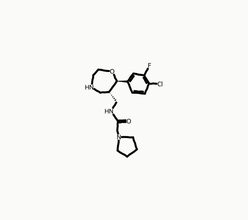 O=C(CN1CCCC1)NC[C@@H]1CNCCO[C@H]1c1ccc(Cl)c(F)c1